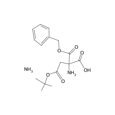 CC(C)(C)OC(=O)CC(N)(C(=O)O)C(=O)OCc1ccccc1.N